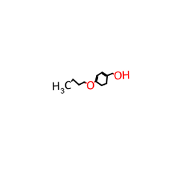 CCCCOC1=CC=C(CO)CC1